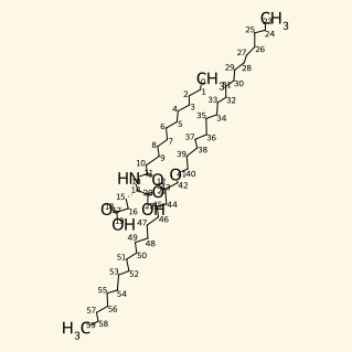 CCCCCCCCCCCC(=O)N[C@@H](CCC(=O)O)C(=O)O.CCCCCCCCCCCCCCCCCCOCCCCCCCCCCCCCCCCCC